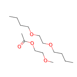 CCCCOCCOCCCC.COCCOC(C)=O